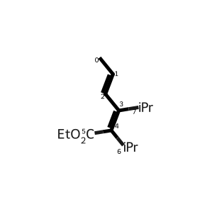 CC=CC(=C(C(=O)OCC)C(C)C)C(C)C